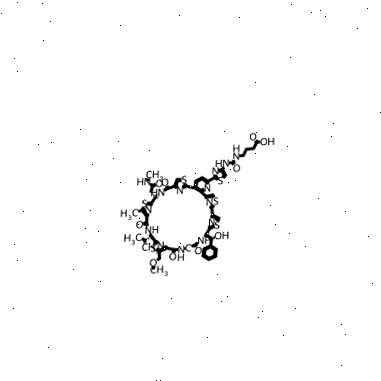 CNC(=O)C[C@@H]1NC(=O)c2csc(n2)-c2ccc(-c3nc(NC(=O)NCCCC(=O)O)cs3)nc2-c2csc(n2)-c2csc(n2)[C@H]([C@@H](O)c2ccccc2)NC(=O)CNC(=O)c2nc(sc2COC)[C@H](C(C)C)NC(=O)c2nc1sc2C